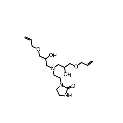 C=CCOCC(O)CN(CCN1CCNC1=O)CC(O)COCC=C